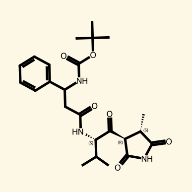 CC(C)[C@H](NC(=O)CC(NC(=O)OC(C)(C)C)c1ccccc1)C(=O)[C@@H]1C(=O)NC(=O)[C@H]1C